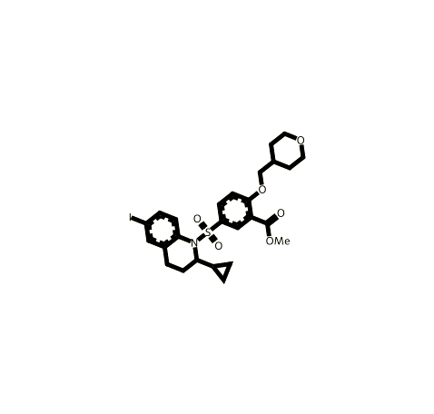 COC(=O)c1cc(S(=O)(=O)N2c3ccc(I)cc3CCC2C2CC2)ccc1OCC1CCOCC1